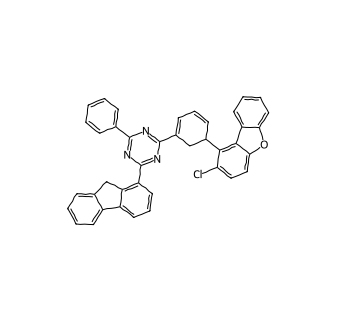 Clc1ccc2oc3ccccc3c2c1C1C=CC=C(c2nc(-c3ccccc3)nc(-c3cccc4c3Cc3ccccc3-4)n2)C1